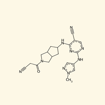 Cn1cc(Nc2ncc(C#N)c(NC3CC4CN(C(=O)CC#N)CC4C3)n2)cn1